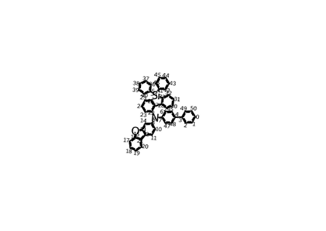 c1ccc(-c2ccc(N(c3ccc4c(c3)oc3ccccc34)c3cccc4c3-c3ccccc3[Si]4(c3ccccc3)c3ccccc3)cc2)cc1